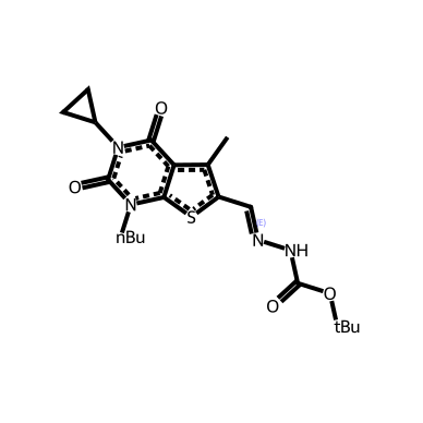 CCCCn1c(=O)n(C2CC2)c(=O)c2c(C)c(/C=N/NC(=O)OC(C)(C)C)sc21